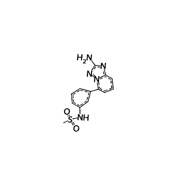 CS(=O)(=O)Nc1cccc(-c2cccc3nc(N)nn23)c1